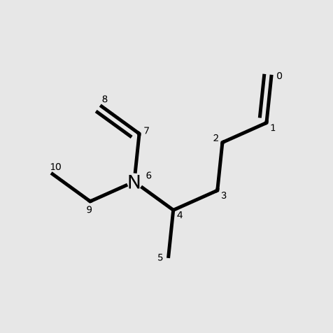 C=CCCC(C)N(C=C)CC